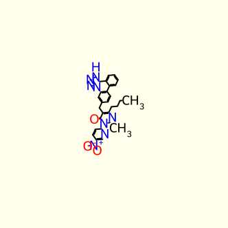 CCCCc1nc(C)n(-c2ccc([N+](=O)[O-])cn2)c(=O)c1Cc1ccc(-c2ccccc2-c2nnn[nH]2)cc1